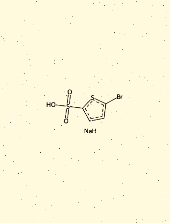 O=S(=O)(O)c1ccc(Br)s1.[NaH]